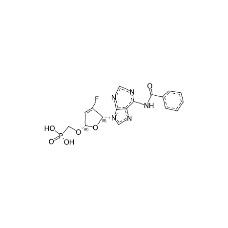 O=C(Nc1ncnc2c1ncn2[C@@H]1O[C@H](OCP(=O)(O)O)C=C1F)c1ccccc1